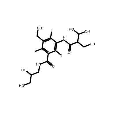 O=C(NCC(O)CO)c1c(I)c(CO)c(I)c(NC(=O)C(CO)C(O)O)c1I